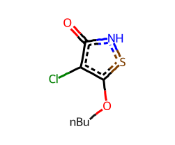 CCCCOc1s[nH]c(=O)c1Cl